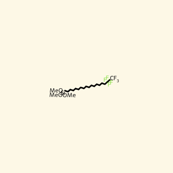 CO[Si](CCCCCCCCCCCCCCCCC(F)(F)C(F)(F)C(F)(F)F)(OC)OC